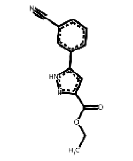 CCOC(=O)c1cc(-c2cccc(C#N)c2)[nH]n1